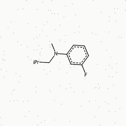 CC(C)CN(C)c1cccc(F)c1